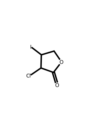 O=C1OCC(I)C1Cl